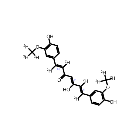 [2H]/C(C(=O)/C=C(O)/C([2H])=C(\[2H])c1ccc(O)c(OC([2H])([2H])[2H])c1)=C(/[2H])c1ccc(O)c(OC([2H])([2H])[2H])c1